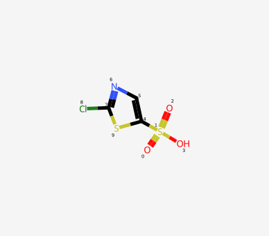 O=S(=O)(O)c1cnc(Cl)s1